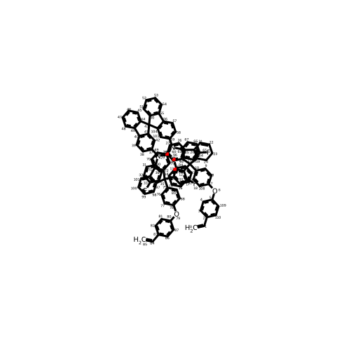 C=Cc1ccc(Oc2ccc(C3(c4ccccc4F)C4=C(C=CCC4)c4ccc(N(c5ccc(F)cc5)c5ccc6c(c5)C5(c7ccccc7-6)c6ccccc6-c6ccc(N(c7ccc(F)cc7)c7ccc8c(c7)C(c7ccc(Oc9ccc(C=C)cc9)cc7)(c7ccccc7F)c7ccccc7-8)cc65)cc43)cc2)cc1